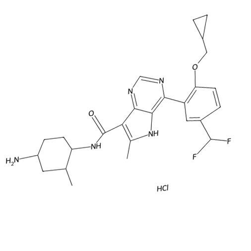 Cc1[nH]c2c(-c3cc(C(F)F)ccc3OCC3CC3)ncnc2c1C(=O)NC1CCC(N)CC1C.Cl